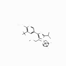 COCCN1C[C@@H]2[C@@H]3C1[C@@]23n1cc(-c2cnc(N)c(C(F)(F)F)c2)nc1C(C)C